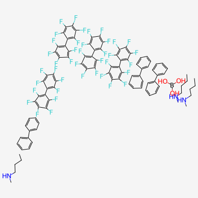 CCCCNC.CCCCNC.CCCCNC.Fc1c(F)c(F)c(-c2c(F)c(F)c(F)c(F)c2F)c(F)c1F.Fc1c(F)c(F)c(-c2c(F)c(F)c(F)c(F)c2F)c(F)c1F.Fc1c(F)c(F)c(-c2c(F)c(F)c(F)c(F)c2F)c(F)c1F.Fc1c(F)c(F)c(-c2c(F)c(F)c(F)c(F)c2F)c(F)c1F.OB(O)O.c1ccc(-c2ccccc2)cc1.c1ccc(-c2ccccc2)cc1.c1ccc(-c2ccccc2)cc1